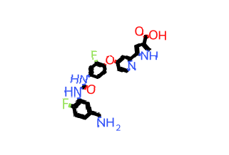 NCc1ccc(F)c(NC(=O)Nc2ccc(Oc3ccnc(-c4cc(C(=O)O)c[nH]4)c3)c(F)c2)c1